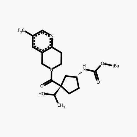 CC(O)[C@]1(C(=O)N2CCc3ncc(C(F)(F)F)cc3C2)CC[C@@H](NC(=O)OC(C)(C)C)C1